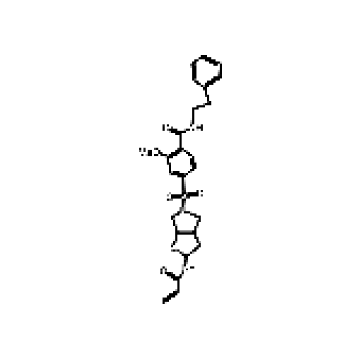 C=CC(=O)NC1CC2CN(S(=O)(=O)c3ccc(C(=O)NCCc4ccccc4)c(OC)c3)CC2S1